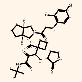 CC(C)(C)NC(=O)C(=O)[C@H](C[C@@H]1CCNC1=O)C1(C(=O)[C@@H]2[C@H]3CCC[C@H]3CN2C(=O)COc2ccc(Cl)cc2Cl)CCC1